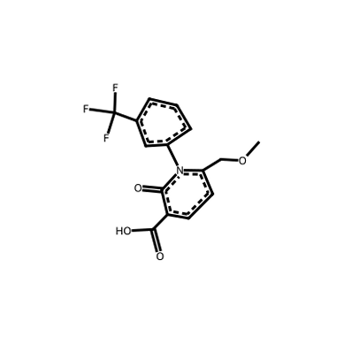 COCc1ccc(C(=O)O)c(=O)n1-c1cccc(C(F)(F)F)c1